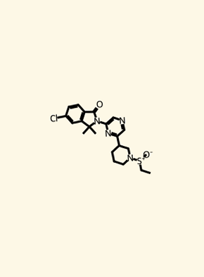 CC[S+]([O-])N1CCCC(c2cncc(N3C(=O)c4ccc(Cl)cc4C3(C)C)n2)C1